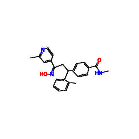 CNC(=O)c1ccc(C(CC(=NO)c2ccnc(C)c2)c2ccccc2C)cc1